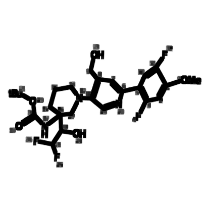 COc1cc(F)c(-c2cc(CO)c(N3CCCC(NC(=O)OC(C)(C)C)(C(O)C(F)F)C3)cn2)cc1F